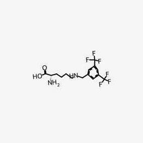 N[C@@H](CCCCNCc1cc(C(F)(F)F)cc(C(F)(F)F)c1)C(=O)O